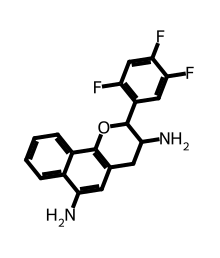 Nc1cc2c(c3ccccc13)OC(c1cc(F)c(F)cc1F)C(N)C2